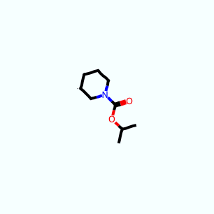 CC(C)OC(=O)N1C[CH]CCC1